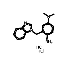 CN(C)c1ccc(N)c(Cn2cnc3ccccc32)c1.Cl.Cl